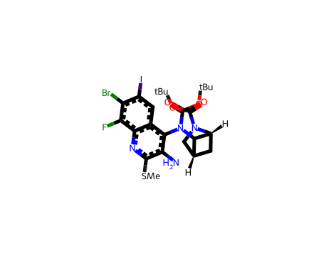 CSc1nc2c(F)c(Br)c(I)cc2c(N(C(=O)OC(C)(C)C)C2[C@@H]3C[C@H]2N(C(=O)OC(C)(C)C)C3)c1N